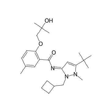 Cc1ccc(OCC(C)(C)O)c(C(=O)/N=c2\cc(C(C)(C)C)n(C)n2CC2CCC2)c1